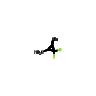 CC(C)(C)C1C(C(=O)O)C1(F)F